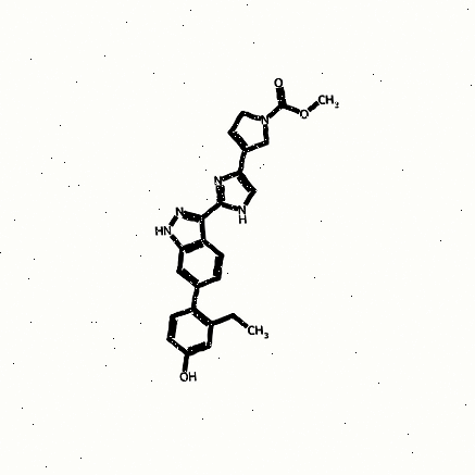 CCc1cc(O)ccc1-c1ccc2c(-c3nc(C4=CCN(C(=O)OC)C4)c[nH]3)n[nH]c2c1